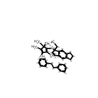 CC1=C(C)C(C)(C)[C]([Hf][C]2(CC(C)C)C=Cc3cc4c(cc32)CCC4)=C1C.c1ccc(CCc2ccccc2)cc1